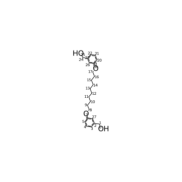 OCc1cccc(OCCCCCCCCCCOc2cccc(CO)c2)c1